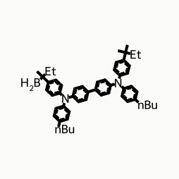 BC(C)(CC)c1ccc(N(c2ccc(CCCC)cc2)c2ccc(-c3ccc(N(c4ccc(CCCC)cc4)c4ccc(C(C)(C)CC)cc4)cc3)cc2)cc1